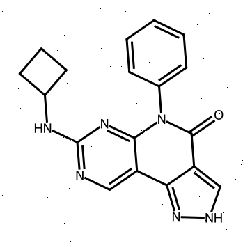 O=c1c2c[nH]nc2c2cnc(NC3CCC3)nc2n1-c1ccccc1